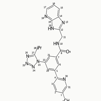 Cc1ccc(-c2cc(C(=O)NCc3nc4cccnc4[nH]3)cc(-n3nnnc3C(C)C)c2)nc1